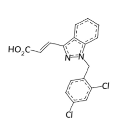 O=C(O)C=Cc1nn(Cc2ccc(Cl)cc2Cl)c2ccccc12